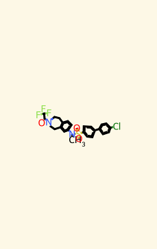 CN(c1ccc2c(c1)CCN(C(=O)C(F)(F)F)CC2)S(=O)(=O)c1ccc(-c2ccc(Cl)cc2)cc1